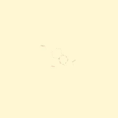 C=CC[C@@H]1CCc2cc(C(=O)O)cc([N+](=O)[O-])c2N1